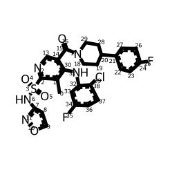 Cc1c(S(=O)(=O)Nc2ccon2)ncc(C(=O)N2CCC(c3ccc(F)cc3)CC2)c1Nc1cc(F)ccc1Cl